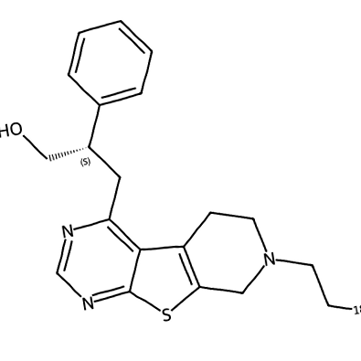 OC[C@@H](Cc1ncnc2sc3c(c12)CCN(CC[18F])C3)c1ccccc1